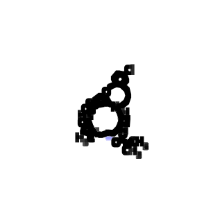 CN(C)C(=O)O[C@H]1/C=C/CN(C)C2(CCC2)C(=O)NS(=O)(=O)c2ccc3c(c2)N(CCCCc2cc(Cl)ccc2CO3)C[C@@H]2CC[C@H]21